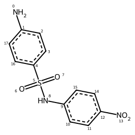 Nc1ccc(S(=O)(=O)Nc2ccc([N+](=O)[O-])cc2)cc1